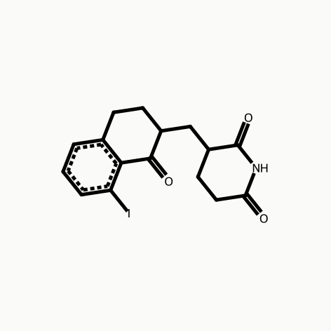 O=C1CCC(CC2CCc3cccc(I)c3C2=O)C(=O)N1